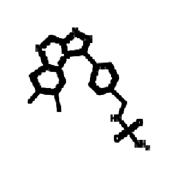 Cc1cc2ncc3nnc(-c4ccc(CNS(N)(=O)=O)cc4)n3c2cc1C